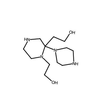 OCCN1CCNCC1(CCO)N1CCNCC1